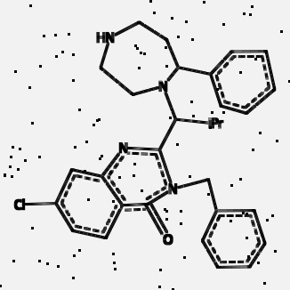 CC(C)C(c1nc2cc(Cl)ccc2c(=O)n1Cc1ccccc1)N1CCNCCC1c1ccccc1